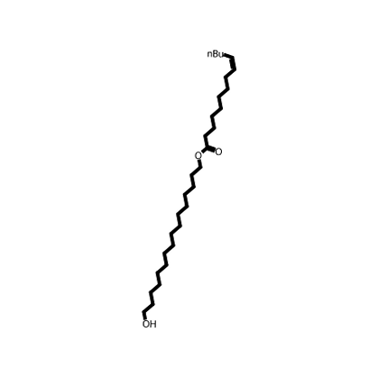 CCCC/C=C\CCCCCCCC(=O)OCCCCCCCCCCCCCCCCO